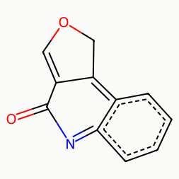 O=C1N=c2ccccc2=C2COC=C12